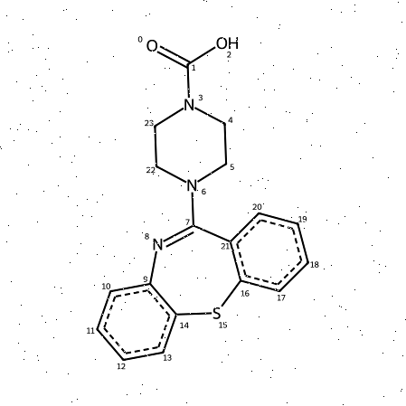 O=C(O)N1CCN(C2=Nc3ccccc3Sc3ccccc32)CC1